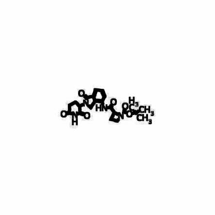 CC(C)(C)OC(=O)N1CCC1C(=O)Nc1cccc2c1CN(C1CCC(=O)NC1=O)C2=O